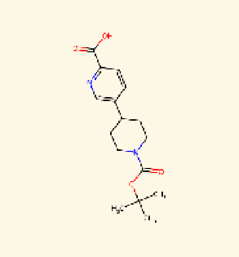 CC(C)(C)OC(=O)N1CCC(c2ccc(C(=O)O)nc2)CC1